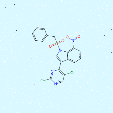 O=[N+]([O-])c1cccc2c(-c3nc(Cl)ncc3Cl)cn(S(=O)(=O)Cc3ccccc3)c12